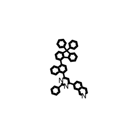 c1ccc(-c2nc(-c3ccc4ccncc4c3)cc(-c3ccc(-c4cccc5c4-c4ccccc4C5(c4ccccc4)c4ccccc4)c4ccccc34)n2)cc1